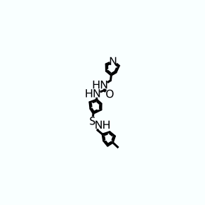 Cc1ccc(CNSc2ccc(NC(=O)NCc3ccncc3)cc2)cc1